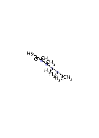 CC(C)=CCC/C(C)=C/CC/C(C)=C/CC/C=C(\C)CC/C=C(\C)CCC(=O)CCCS